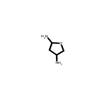 NC1COC(N)C1